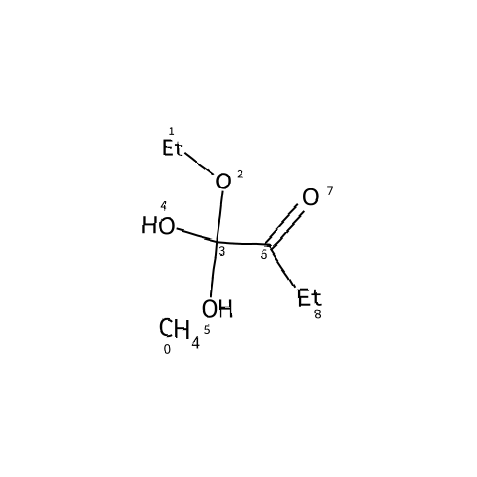 C.CCOC(O)(O)C(=O)CC